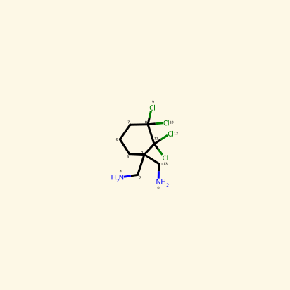 NCC1(CN)CCCC(Cl)(Cl)C1(Cl)Cl